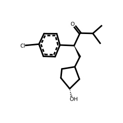 CC(C)C(=O)[C@@H](CC1CC[C@@H](O)C1)c1ccc(Cl)cc1